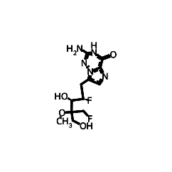 COC(CO)(CF)[C@@H](O)[C@@H](F)Cc1cnc2c(=O)[nH]c(N)nn12